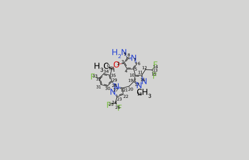 C[C@H]1Oc2cc(cnc2N)-c2c(CC(F)F)nn(C)c2Cc2cc(C(F)F)nn2-c2ccc(F)cc21